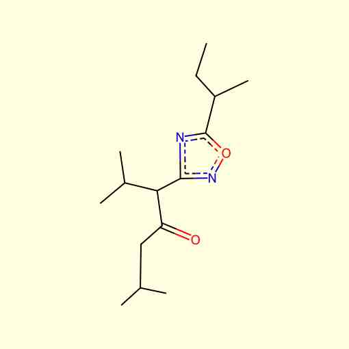 CCC(C)c1nc(C(C(=O)CC(C)C)C(C)C)no1